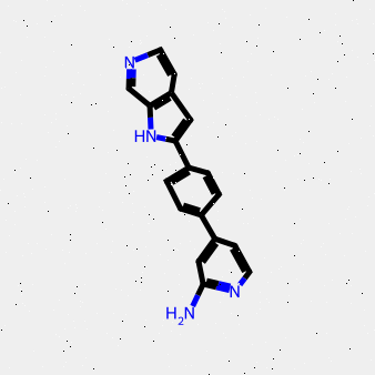 Nc1cc(-c2ccc(-c3cc4ccncc4[nH]3)cc2)ccn1